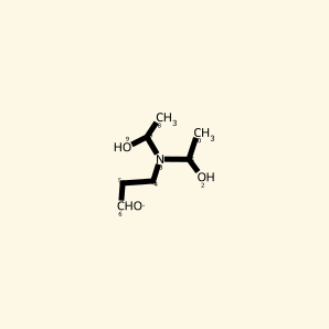 CC(O)N(CC[C]=O)C(C)O